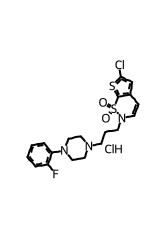 Cl.O=S1(=O)c2sc(Cl)cc2C=CN1CCCN1CCN(c2ccccc2F)CC1